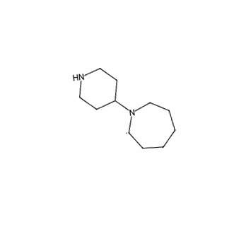 [CH]1CCCCCN1C1CCNCC1